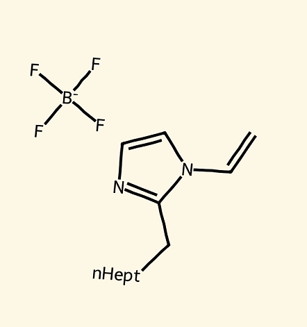 C=Cn1ccnc1CCCCCCCC.F[B-](F)(F)F